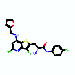 N[C@H](Cc1sc2c(NCc3ccco3)cc(Cl)nc2c1Cl)C(=O)Nc1ccc(Cl)cc1